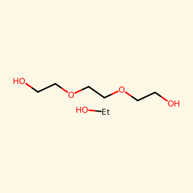 CCO.OCCOCCOCCO